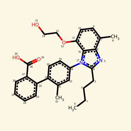 CCCCc1nc2c(C)ccc(OCCO)c2n1-c1ccc(-c2ccccc2C(=O)O)c(C)c1